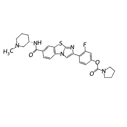 CN1CCC[C@H](NC(=O)c2ccc3c(c2)sc2nc(-c4ccc(OC(=O)N5CCCC5)cc4F)cn23)C1